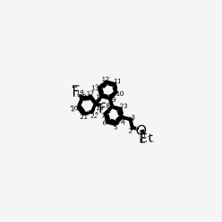 CCOCCc1cccc(-c2ccccc2C2(F)C=C(F)C=CC2)c1